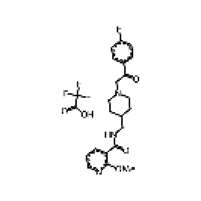 COc1ncccc1C(=O)NCC1CCN(CC(=O)c2ccc(F)cc2)CC1.O=C(O)C(F)(F)F